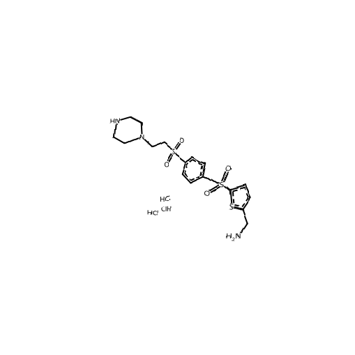 Cl.Cl.Cl.NCc1ccc(S(=O)(=O)c2ccc(S(=O)(=O)CCN3CCNCC3)cc2)s1